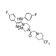 C=C1CN(C(=O)CN2CCC(C(F)(F)F)CC2)CCN1/C(Nc1ccc(F)cc1)=C(\N)c1ccc(F)cc1